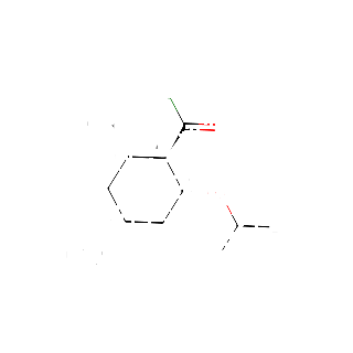 CCOC(=O)[C@@H]1C[C@H]([N+](=O)[O-])[C@@H](C(=O)Cl)[C@H](OC(CC)CC)[C@@H]1S